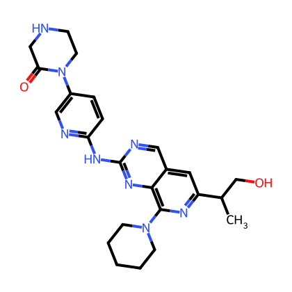 CC(CO)c1cc2cnc(Nc3ccc(N4CCNCC4=O)cn3)nc2c(N2CCCCC2)n1